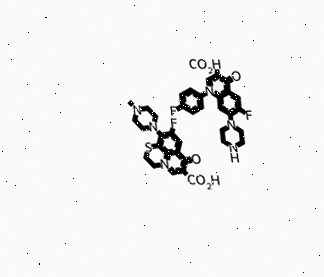 CN1CCN(c2c(F)cc3c(=O)c(C(=O)O)cn4c3c2SCC4)CC1.O=C(O)c1cn(-c2ccc(F)cc2)c2cc(N3CCNCC3)c(F)cc2c1=O